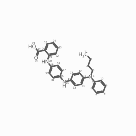 CCCCN(c1ccccc1)c1ccc(Nc2ccc(Nc3ccccc3C(=O)O)cc2)cc1